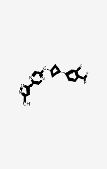 Oc1cc(-c2cnc(O[C@H]3C[C@@H](c4ccc(C(F)F)c(F)c4)C3)cn2)on1